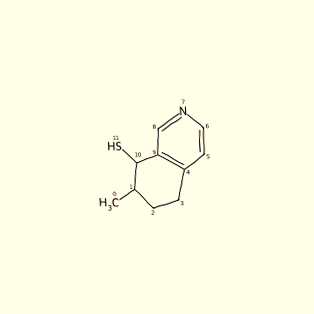 CC1CCc2ccncc2C1S